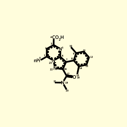 CCCc1cc(C(=O)O)nc2c(-c3c(C)cccc3C)c(C(=O)N(C)C)nn12